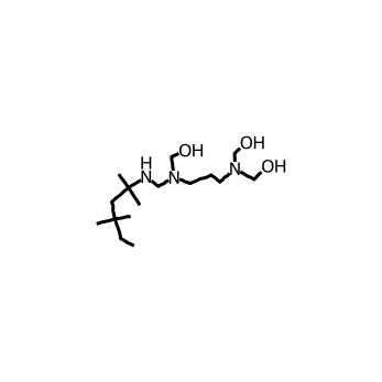 CCC(C)(C)CC(C)(C)NCN(CO)CCCN(CO)CO